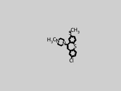 CSc1ccc2c(c1)C(N1CCN(C)CC1)=Cc1cc(Cl)ccc1S2